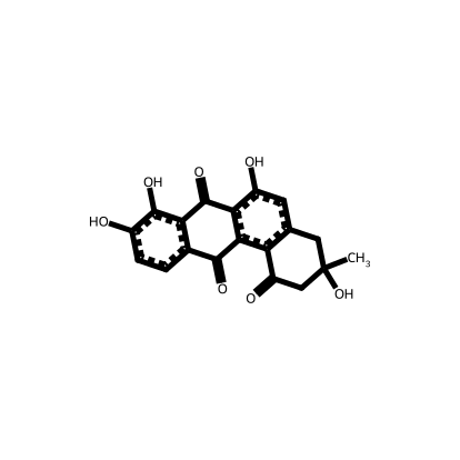 CC1(O)CC(=O)c2c(cc(O)c3c2C(=O)c2ccc(O)c(O)c2C3=O)C1